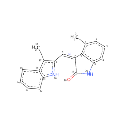 Cc1cccc2c1/C(=C/c1[nH]c3ccccc3c1C)C(=O)N2